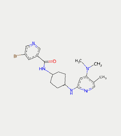 Cc1cnc(NC2CCC(NC(=O)c3cncc(Br)c3)CC2)cc1N(C)C